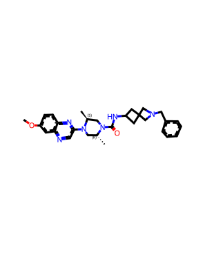 COc1ccc2nc(N3C[C@@H](C)N(C(=O)NC4CC5(C4)CN(Cc4ccccc4)C5)C[C@@H]3C)cnc2c1